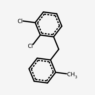 Cc1ccccc1Cc1cccc(Cl)c1Cl